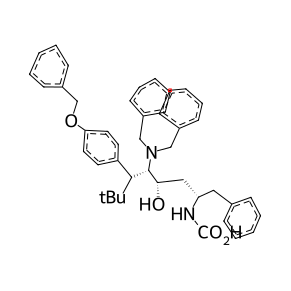 CC(C)(C)C(c1ccc(OCc2ccccc2)cc1)[C@@H]([C@@H](O)C[C@H](Cc1ccccc1)NC(=O)O)N(Cc1ccccc1)Cc1ccccc1